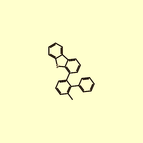 Cc1cccc(-c2cccc3c2sc2ccccc23)c1-c1ccccc1